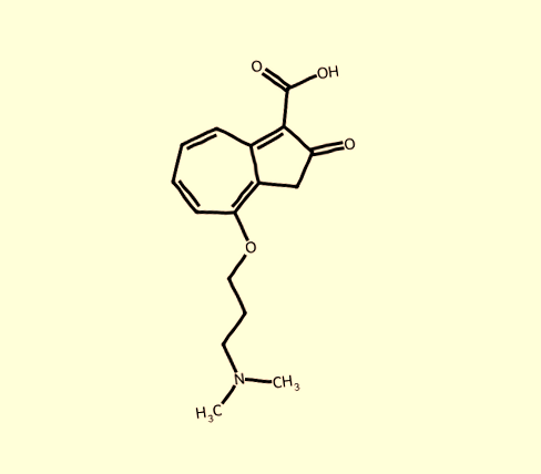 CN(C)CCCOC1=C2CC(=O)C(C(=O)O)=C2C=CC=C1